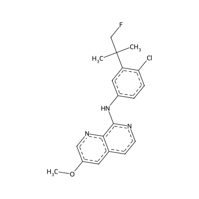 COc1cnc2c(Nc3ccc(Cl)c(C(C)(C)CF)c3)nccc2c1